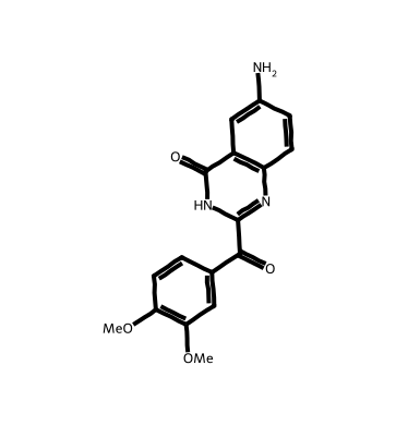 COc1ccc(C(=O)c2nc3ccc(N)cc3c(=O)[nH]2)cc1OC